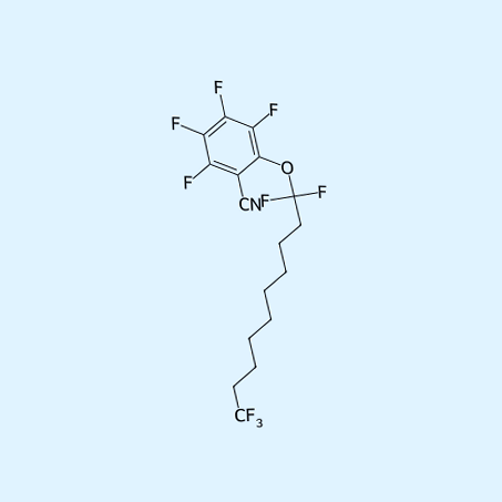 N#Cc1c(F)c(F)c(F)c(F)c1OC(F)(F)CCCCCCCCC(F)(F)F